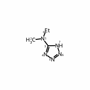 CCN(C)c1nnn[nH]1